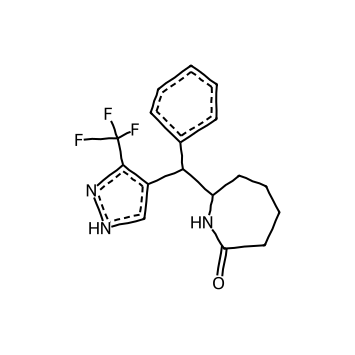 O=C1CCCCC(C(c2ccccc2)c2c[nH]nc2C(F)(F)F)N1